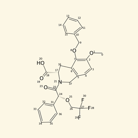 COc1ccc2c(c1OCc1ccccc1)C[C@@H](C(=O)O)N(C(=O)[C@H](OCC(F)(F)F)c1ccccc1)C2